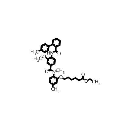 CCOC(=O)CCCCCOc1cc(C)ccc1N(C)C(=O)c1ccc(NC(=O)c2ccccc2-c2ccc(C)cc2)c(OC)c1